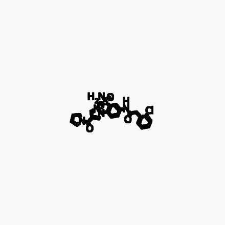 NS(=O)(=O)c1cc(NC(=O)Cc2ccccc2Cl)ccc1-n1cc(C(=O)N2CCCC2)cn1